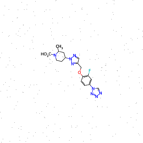 CC1CC(n2ncc(COc3ccc(-n4cnnn4)cc3F)n2)CCN1C(=O)O